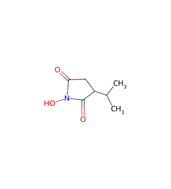 CC(C)C1CC(=O)N(O)C1=O